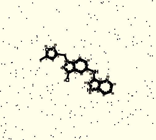 Cc1cc(Cn2nc(Cl)c3cc(Nc4n[nH]c5cccnc45)ccc32)no1